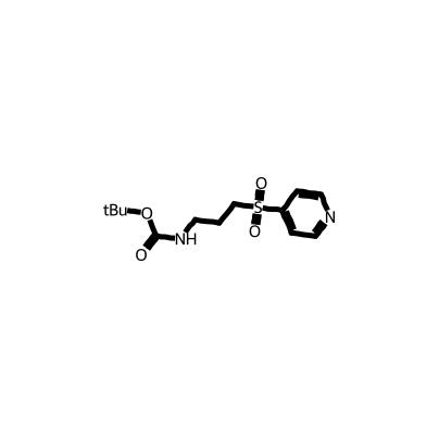 CC(C)(C)OC(=O)NCCCS(=O)(=O)c1ccncc1